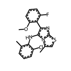 COc1cccc(F)c1-c1nc2scc(C)n2c1Nc1c(C)cccc1Cl